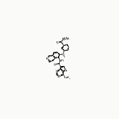 CNC(=O)c1cccc(N(C)c2ccc3cnccc3c2NC(=O)c2csc3c(N)ncnc23)c1